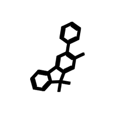 Cc1cc2c(cc1-c1ccccc1)-c1ccccc1C2(C)C